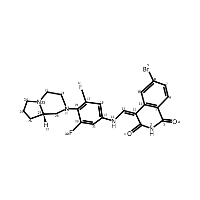 O=C1NC(=O)c2ccc(Br)cc2/C1=C/Nc1cc(F)c(N2CCN3CCC[C@H]3C2)c(F)c1